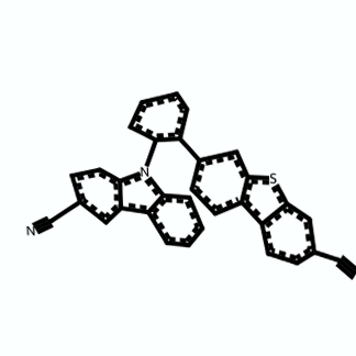 N#Cc1ccc2c(c1)sc1cc(-c3ccccc3-n3c4ccccc4c4cc(C#N)ccc43)ccc12